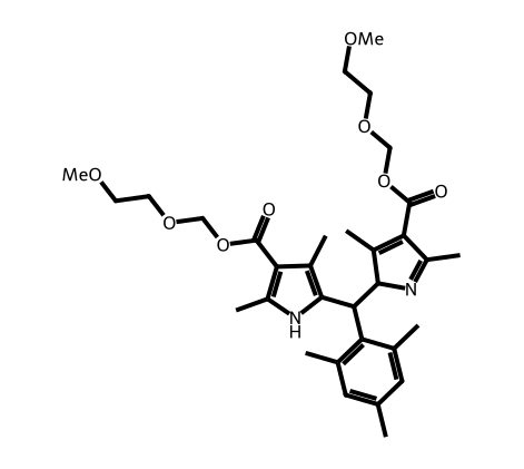 COCCOCOC(=O)C1=C(C)C(C(c2[nH]c(C)c(C(=O)OCOCCOC)c2C)c2c(C)cc(C)cc2C)N=C1C